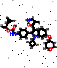 Cc1cnoc1-c1c(-c2ccc(NC(=O)OC(C)C3CC3)cc2)n(C2CCC2)c2cc(OC3CCOCC3)ccc12